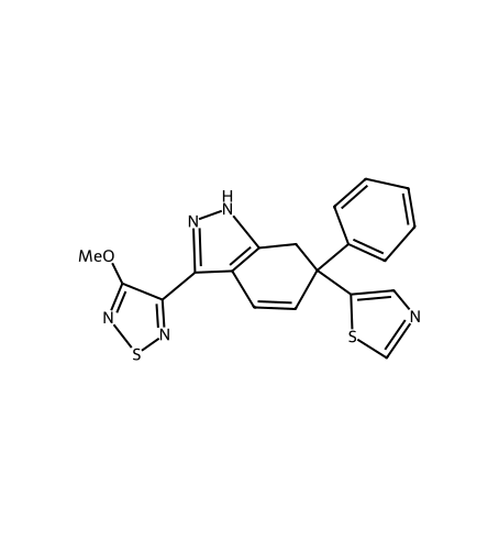 COc1nsnc1-c1n[nH]c2c1C=CC(c1ccccc1)(c1cncs1)C2